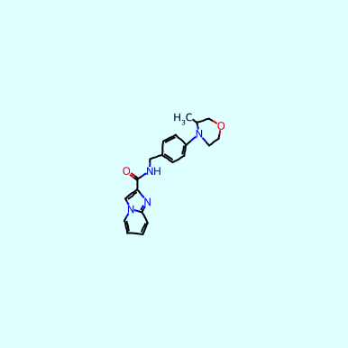 CC1COCCN1c1ccc(CNC(=O)c2cn3ccccc3n2)cc1